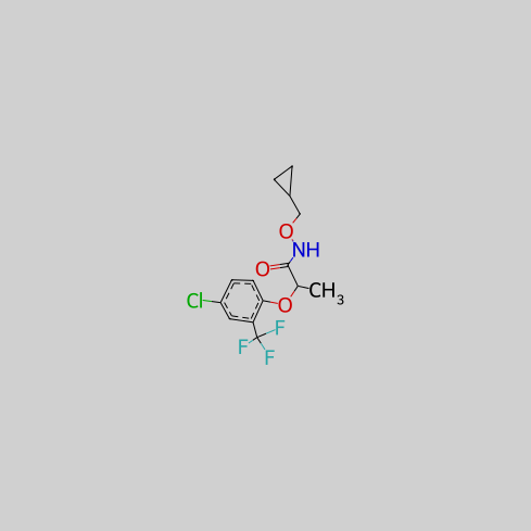 CC(Oc1ccc(Cl)cc1C(F)(F)F)C(=O)NOCC1CC1